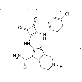 CCN1CCc2c(sc(Nc3c(Nc4ccc(Cl)cc4)c(=O)c3=O)c2C(N)=O)C1